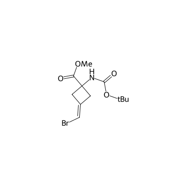 COC(=O)C1(NC(=O)OC(C)(C)C)CC(=CBr)C1